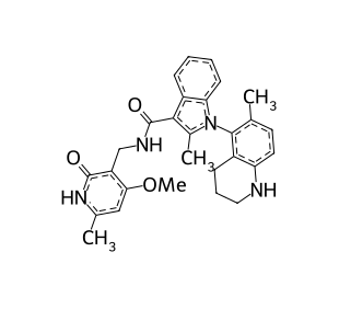 COc1cc(C)[nH]c(=O)c1CNC(=O)c1c(C)n(-c2c(C)ccc3c2CCCN3)c2ccccc12